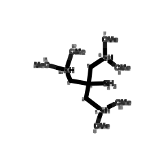 CO[SiH](CC([SiH3])(C[SiH](OC)OC)C[SiH](OC)OC)OC